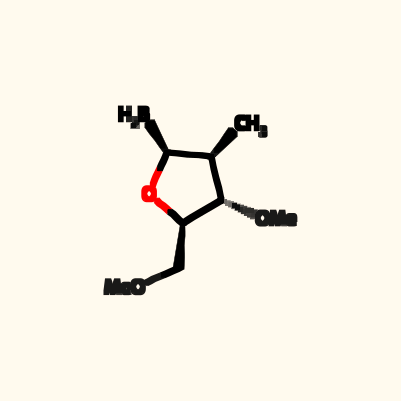 B[C@@H]1O[C@H](COC)[C@@H](OC)[C@@H]1C